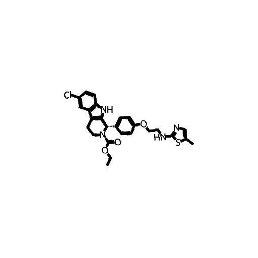 CCOC(=O)N1CCc2c([nH]c3ccc(Cl)cc23)[C@@H]1c1ccc(OCCNc2ncc(C)s2)cc1